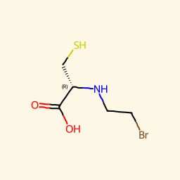 O=C(O)[C@H](CS)NCCBr